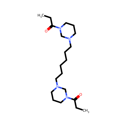 CCC(=O)N1CCCN(CCCCCCN2CCCN(C(=O)CC)C2)C1